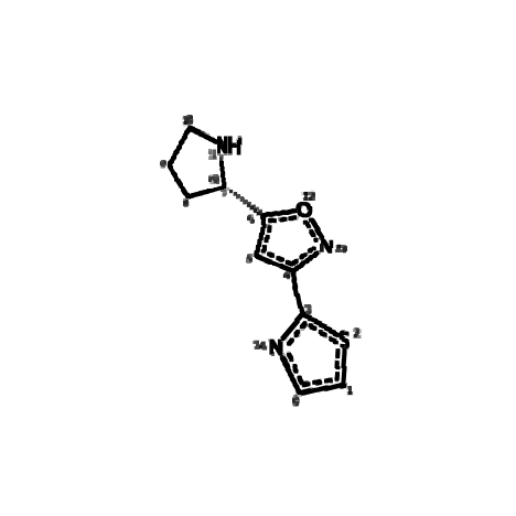 c1csc(-c2cc([C@@H]3CCCN3)on2)n1